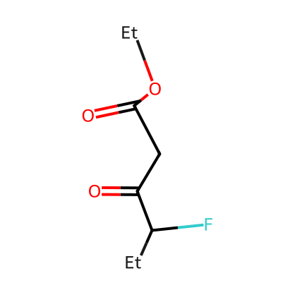 CCOC(=O)CC(=O)C(F)CC